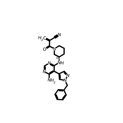 C=C(C#N)C(=O)N1CCC[C@@H](Nc2ncnc(N)c2-c2cnn(Cc3ccccc3)c2)C1